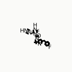 C[C@@H]1CN(CC(=O)N2CC(C)(C)c3ncc(Cc4ccc(F)cc4)cc32)[C@@H](CN2CCNCC2)CN1